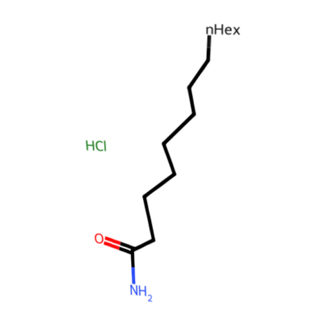 CCCCCCCCCCCCCC(N)=O.Cl